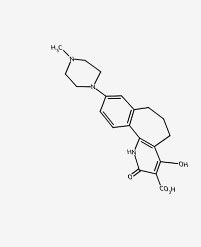 CN1CCN(c2ccc3c(c2)CCCc2c-3[nH]c(=O)c(C(=O)O)c2O)CC1